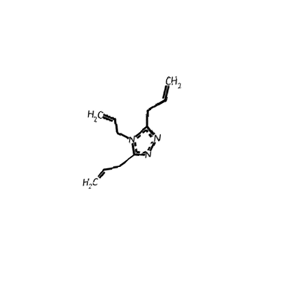 C=CCc1nnc(CC=C)n1CC=C